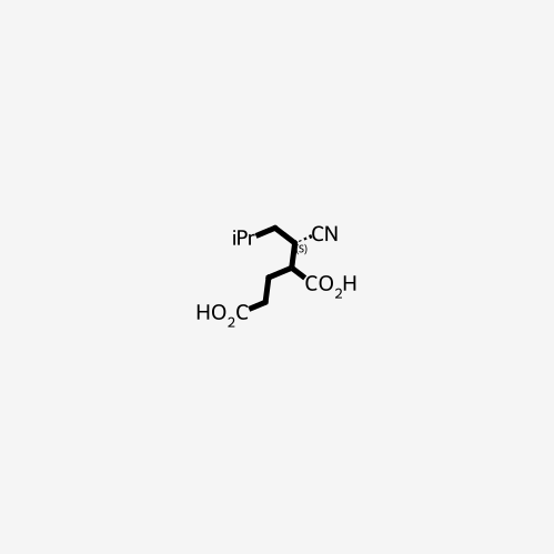 CC(C)C[C@H](C#N)C(CCC(=O)O)C(=O)O